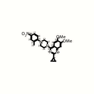 COc1cc2nc(C3CC3)nc(N3CCN(c4ccc([N+](=O)[O-])cc4C)CC3)c2cc1OC